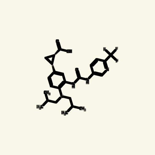 CC(C)CN(CC(C)C)c1ccc([C@@H]2C[C@@H]2C(=O)O)cc1NC(=O)Nc1ccc(C(F)(F)F)nc1